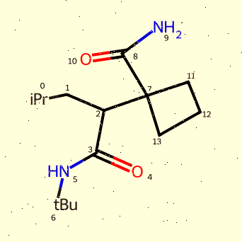 CC(C)CC(C(=O)NC(C)(C)C)C1(C(N)=O)CCC1